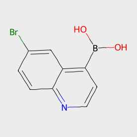 OB(O)c1ccnc2ccc(Br)cc12